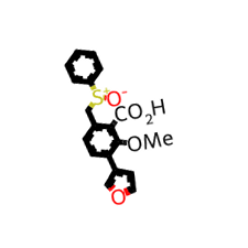 COc1c(-c2ccoc2)ccc(C[S+]([O-])c2ccccc2)c1C(=O)O